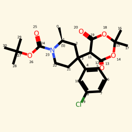 C[C@H]1CC(c2cccc(Cl)c2)(C2C(=O)OC(C)(C)OC2=O)CCN1C(=O)OC(C)(C)C